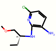 CC[C@H](COC)Nc1nc(Cl)ccc1N